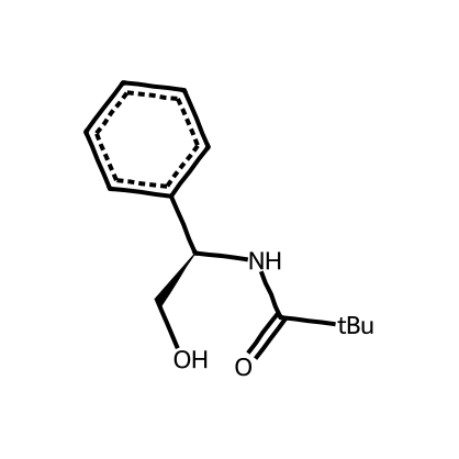 CC(C)(C)C(=O)N[C@@H](CO)c1ccccc1